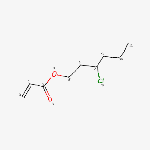 C=CC(=O)OCCC(Cl)CCC